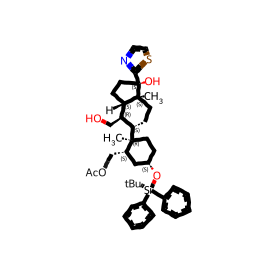 CC(=O)OC[C@H]1C[C@@H](O[Si](c2ccccc2)(c2ccccc2)C(C)(C)C)CC[C@]1(C)[C@H]1CC[C@@]2(C)[C@@H](CC[C@@]2(O)c2nccs2)[C@@H]1CO